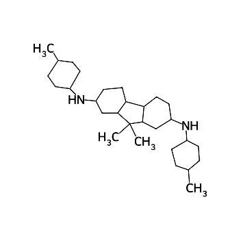 CC1CCC(NC2CCC3C4CCC(NC5CCC(C)CC5)CC4C(C)(C)C3C2)CC1